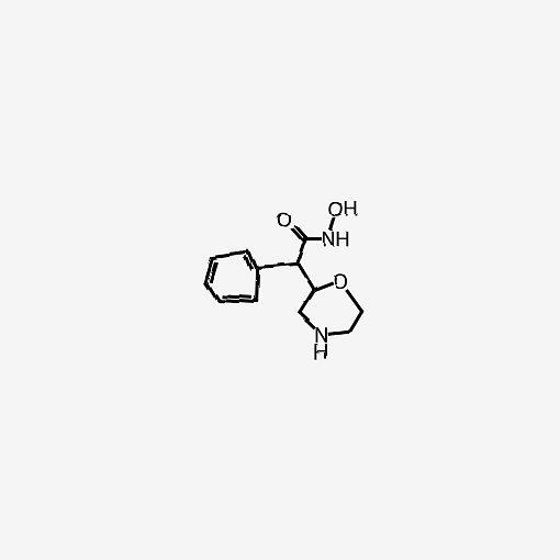 O=C(NO)C(c1ccccc1)C1CNCCO1